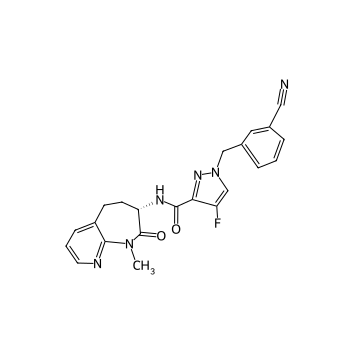 CN1C(=O)[C@@H](NC(=O)c2nn(Cc3cccc(C#N)c3)cc2F)CCc2cccnc21